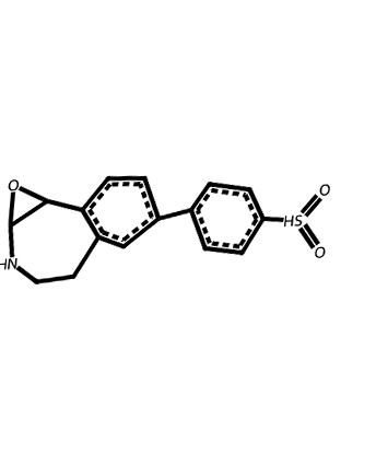 O=[SH](=O)c1ccc(-c2ccc3c(c2)CCNC2OC32)cc1